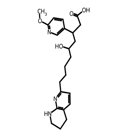 COc1ccc(C(CC(=O)O)CC(O)CCCCc2ccc3c(n2)NCCC3)cn1